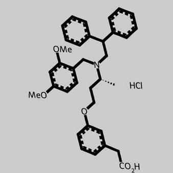 COc1ccc(CN(CC(c2ccccc2)c2ccccc2)[C@H](C)CCOc2cccc(CC(=O)O)c2)c(OC)c1.Cl